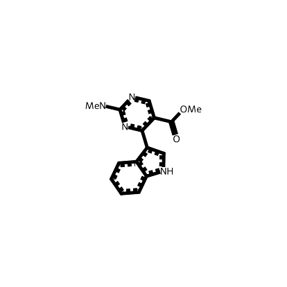 CNc1ncc(C(=O)OC)c(-c2c[nH]c3ccccc23)n1